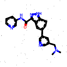 CN(C)Cc1cncc(-c2ccc3[nH]nc(C(=O)Nc4cccnc4)c3c2)c1